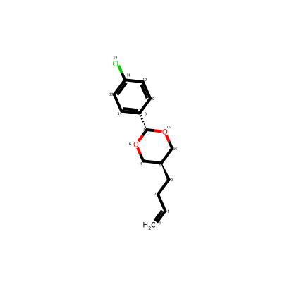 C=CCC[C@H]1CO[C@H](c2ccc(Cl)cc2)OC1